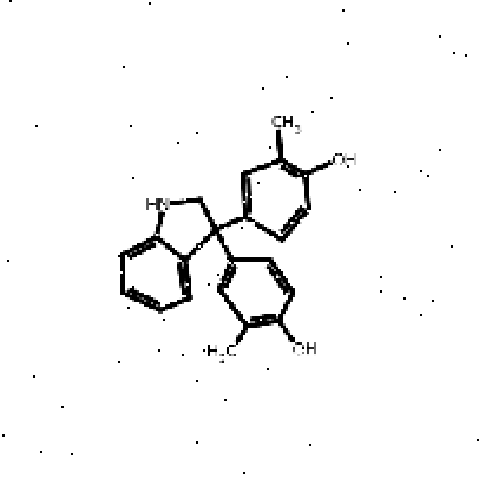 Cc1cc(C2(c3ccc(O)c(C)c3)CNc3ccccc32)ccc1O